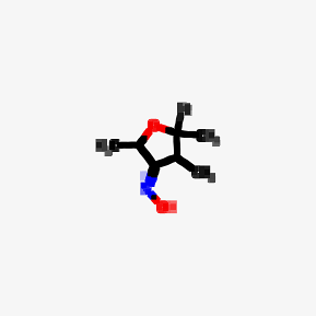 CCC1(C)OC(C)/C(=N/O)C1C